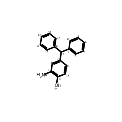 Nc1cc(C(c2ccccc2)c2ccccc2)ccc1O